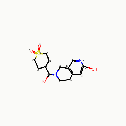 O=S1(=O)CCC(C(O)N2CCc3cc(O)ncc3C2)CC1